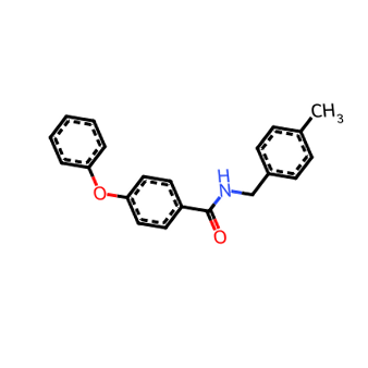 Cc1ccc(CNC(=O)c2ccc(Oc3ccccc3)cc2)cc1